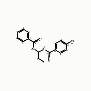 CCC(OC(=O)c1ccccc1)OC(=O)c1ccc(O)cc1